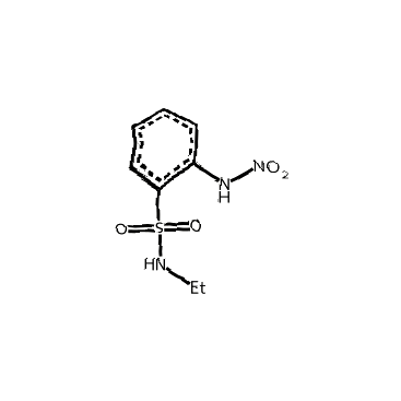 CCNS(=O)(=O)c1ccccc1N[N+](=O)[O-]